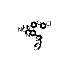 N#Cc1cnc2cc(-c3ccc(CN4CCOCC4)s3)ccc2c1Nc1ccc(Oc2cccc(Cl)c2)cc1